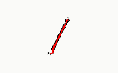 CC(C)CCC[C@@H](C)[C@H]1CCC2C3CC=C4CC(OC(=O)CCOCCOCCOCCOCCOCCOCCOCCOCCOCCOCCOCCOCCOCCOCCOCCOCCOCCOCCOCCOCCOCCOCCOCCOCCNC(=O)CBr)CC[C@]4(C)C3CC[C@@]21C